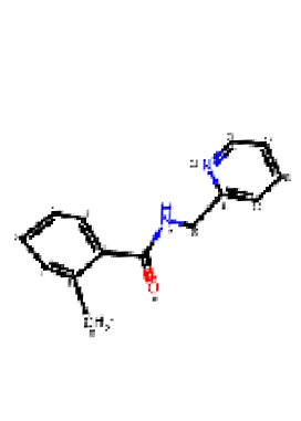 [CH2]c1ccccc1C(=O)NCc1ccccn1